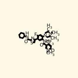 C[C@@H]1CN(c2cc(F)c(-c3csc(C(=O)NC4CCCCC4)n3)cc2NC(=O)c2cn(C)c(=O)cc2C(F)(F)F)C[C@H](C)N1C